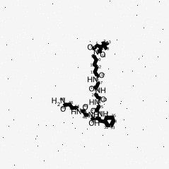 CC(C)(C)C1CC(=O)N(CCCCCC(=O)NCC(=O)NCC(=O)NCC(=O)NC(Cc2ccccc2)C(O)NCC(=O)NCCCC(N)=O)C1=O